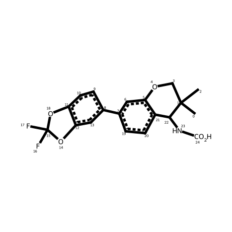 CC1(C)COc2cc(-c3ccc4c(c3)OC(F)(F)O4)ccc2C1NC(=O)O